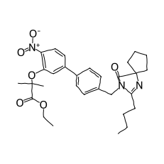 CCCCC1=NC2(CCCC2)C(=O)N1Cc1ccc(-c2ccc([N+](=O)[O-])c(OC(C)(C)C(=O)OCC)c2)cc1